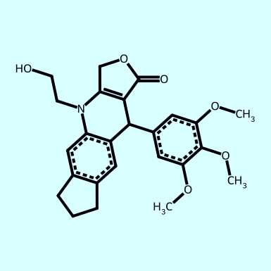 COc1cc(C2C3=C(COC3=O)N(CCO)c3cc4c(cc32)CCC4)cc(OC)c1OC